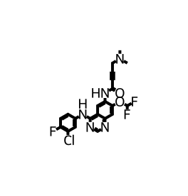 CN(C)CC#CC(=O)Nc1cc2c(Nc3ccc(F)c(Cl)c3)ncnc2cc1OC(F)F